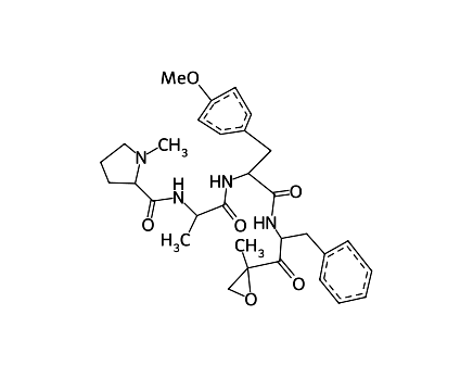 COc1ccc(CC(NC(=O)C(C)NC(=O)C2CCCN2C)C(=O)NC(Cc2ccccc2)C(=O)C2(C)CO2)cc1